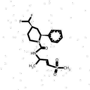 CC(/C=C/S(C)(=O)=O)NC(=O)N1CC[C@@H](C(F)F)C[C@H]1c1ccccc1